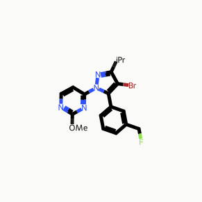 COc1nccc(-n2nc(C(C)C)c(Br)c2-c2cccc(CF)c2)n1